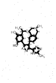 Cc1nnc(-c2noc(-c3cc(C(C)C)c(O)cc3O)c2-c2ccc3c(c2)CCN(C)C3)[nH]1